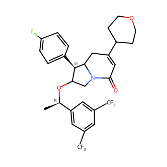 C[C@@H](OC1CN2C(=O)C=C(C3CCOCC3)CC2[C@@H]1c1ccc(F)cc1)c1cc(C(F)(F)F)cc(C(F)(F)F)c1